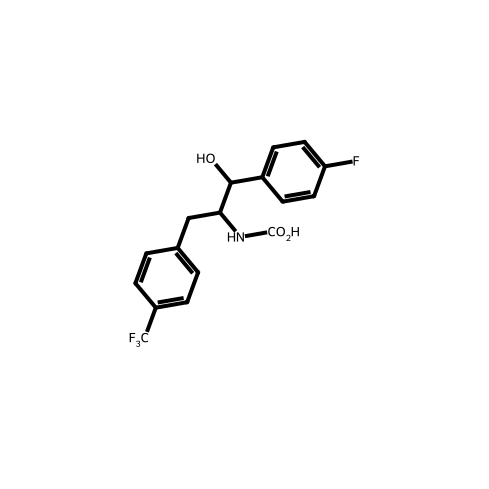 O=C(O)NC(Cc1ccc(C(F)(F)F)cc1)C(O)c1ccc(F)cc1